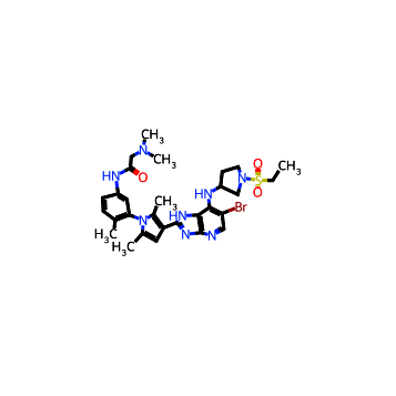 CCS(=O)(=O)N1CCC(Nc2c(Br)cnc3nc(-c4cc(C)n(-c5cc(NC(=O)CN(C)C)ccc5C)c4C)[nH]c23)C1